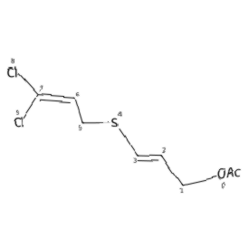 CC(=O)OCC=CSCC=C(Cl)Cl